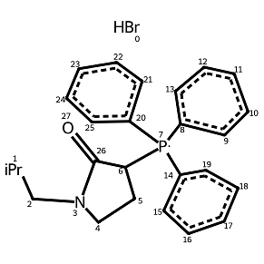 Br.CC(C)CN1CCC([P](c2ccccc2)(c2ccccc2)c2ccccc2)C1=O